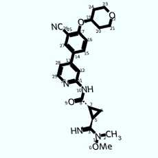 CON(C)C(=N)[C@@H]1C[C@H]1C(=O)Nc1cc(-c2ccc(OC3CCOCC3)c(C#N)c2)ccn1